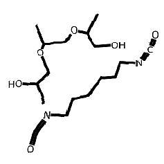 CC(O)COC(C)COC(C)CO.O=C=NCCCCCCN=C=O